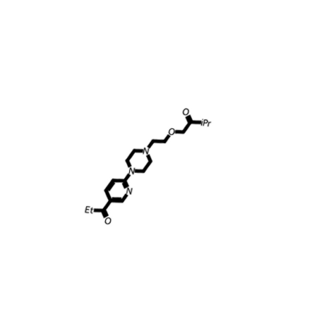 CCC(=O)c1ccc(N2CCN(CCOCC(=O)C(C)C)CC2)nc1